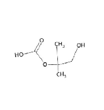 CC(C)(CO)OC(=O)O